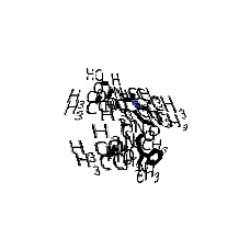 C/C(=C\[C@H](C(C)C)N(C)C(=O)C(NC(=O)[C@@H](N(C)C(=O)OC(C)(C)C)C(C)(C)c1cn(C)c2ccccc12)C(C)(C)C)C(=O)N[C@H](CC(=O)O)C(=O)OC(C)(C)C